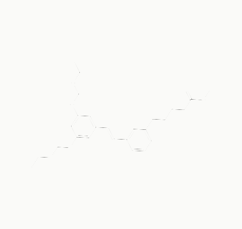 CCOCOc1cc(/C=C/c2cccc(CCCCC(=O)OC)c2)cc(OCOCC)c1